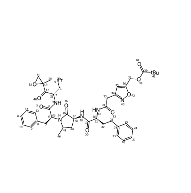 CC(C)C[C@H](NC(=O)[C@H](Cc1ccccc1)N1C(=O)[C@@H](NC(=O)[C@H](CCc2ccccc2)NC(=O)Cc2cc(COC(=O)C(C)(C)C)on2)CC1C)C(=O)C1(C)CO1